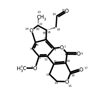 COc1cc2c(c3oc(=O)c4c(c13)CCOC4=O)[C@@H](CC=O)[C@@H](C)O2